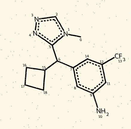 Cn1cnnc1C(c1cc(N)cc(C(F)(F)F)c1)C1CCC1